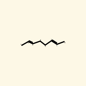 CC=CCC/C=C/C